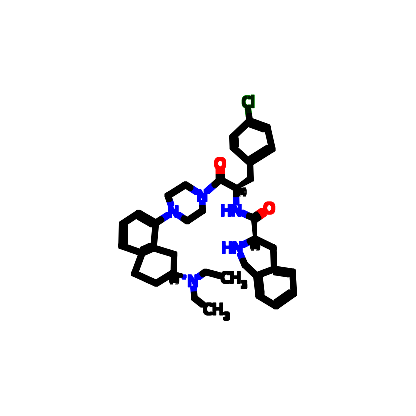 CCN(CC)[C@@H]1CCc2cccc(N3CCN(C(=O)[C@@H](Cc4ccc(Cl)cc4)NC(=O)[C@H]4Cc5ccccc5CN4)CC3)c2C1